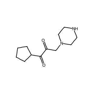 O=C(CN1CCNCC1)C(=O)C1CCCC1